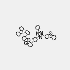 c1ccc(-c2nc(-c3ccc(-c4cccc5c4Oc4c(ccc6c4-c4ccccc4C6(c4ccccc4)c4ccccc4)O5)cc3)nc(-c3ccc4c(c3)oc3ccccc34)n2)cc1